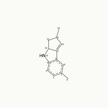 Cc1ccc2c(c1)C1=CC(C)CC1N2